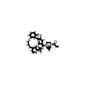 C=CC(=O)N1CCN(c2nc(=O)n3c4nc(c(F)cc24)-c2c(F)cccc2SCCCc2ccnc(C(C)C)c2-3)[C@@H]2C[C@@H]21